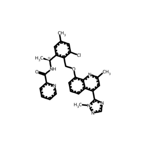 Cc1cc(Cl)c(COc2cccc3c(-c4ncnn4C)cc(C)nc23)c([C@H](C)NC(=O)c2ccccn2)c1